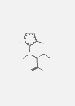 Cc1ccsc1N(C)[C@@H](CC(C)C)C(N)=O